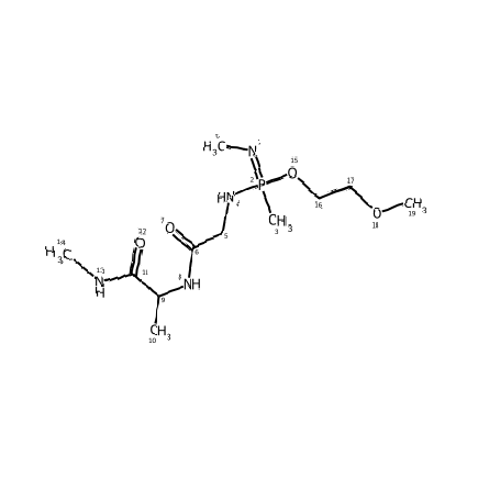 CN=P(C)(NCC(=O)NC(C)C(=O)NC)OCCOC